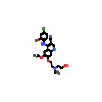 COc1cc2c(Nc3ccc(Cl)cc3Br)c(C#N)cnc2cc1OCCN(C)CCO